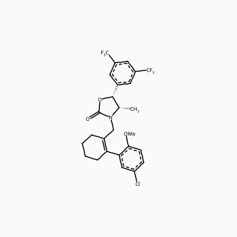 COc1ccc(Cl)cc1C1=C(CN2C(=O)O[C@H](c3cc(C(F)(F)F)cc(C(F)(F)F)c3)[C@@H]2C)CCCC1